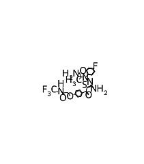 CC(C(N)=O)N(c1ccc(F)cc1)c1nc(N)c(C(=O)c2ccc(OCC(=O)NCC(F)(F)F)cc2)s1